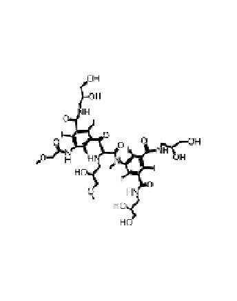 COCC(=O)Nc1c(I)c(C(=O)NCC(O)CO)c(I)c(C(=O)C(NCC(O)COC)C(=O)N(C)c2c(I)c(C(=O)NCC(O)CO)c(I)c(C(=O)NCC(O)CO)c2I)c1I